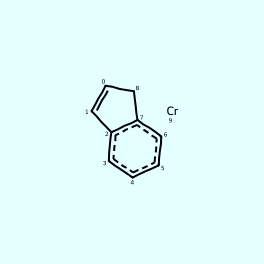 C1=Cc2ccccc2C1.[Cr]